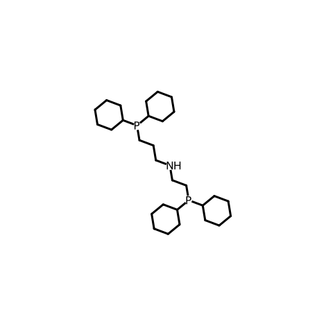 C1CCC(P(CCCNCCP(C2CCCCC2)C2CCCCC2)C2CCCCC2)CC1